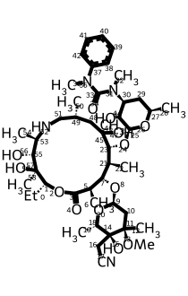 CC[C@H]1OC(=O)[C@H](C)[C@@H](O[C@H]2C[C@@](C)(OC)[C@](O)(CC#N)[C@H](C)O2)[C@H](C)[C@@H](O[C@@H]2O[C@H](C)C[C@H](N(C)C(=O)N(C)c3ccccc3)[C@H]2O)[C@](C)(O)C[C@@H](C)CN[C@H](C)[C@@H](O)[C@]1(C)O